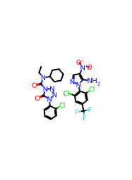 CCN(C(=O)n1nnn(-c2ccccc2Cl)c1=O)C1CCCCC1.Nc1c([N+](=O)[O-])cnn1-c1c(Cl)cc(C(F)(F)F)cc1Cl